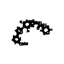 COc1cccc(-c2cnc(N3[C@H](C)Cc4nc(NC(=O)NC5CCOCC5)sc4[C@@H]3C)o2)n1